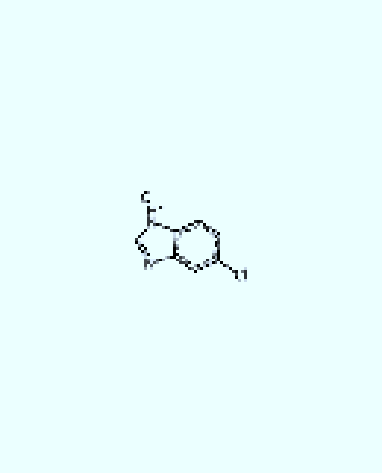 [O-][NH+]1C=Nc2cc(Cl)ccc21